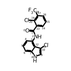 O=C(Nc1cccc2[nH]cc(Cl)c12)c1cccc(C(F)(F)F)c1Cl